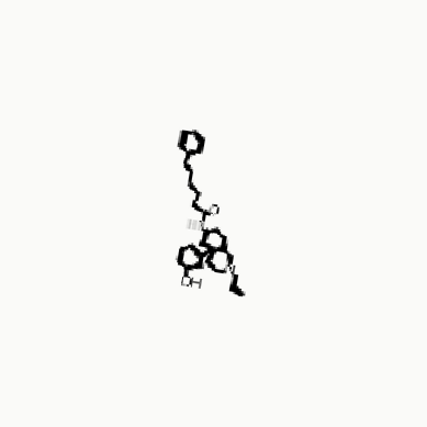 C=CCN1CCC2(c3cccc(O)c3)CC(NC(=O)CCCCCc3ccccc3)CCC2C1